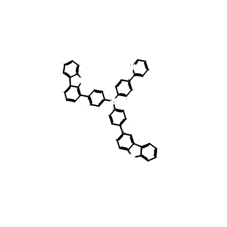 c1ccc(-c2ccc(N(c3ccc(-c4ccc5oc6ccccc6c5c4)cc3)c3ccc(-c4cccc5c4sc4ccccc45)cc3)cc2)nc1